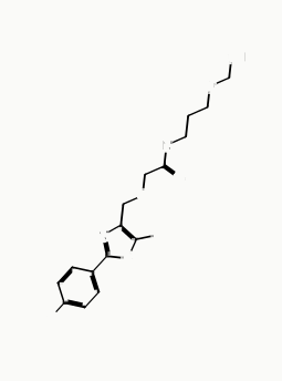 CCOCCCNC(=O)CSCc1nc(-c2ccc(C)cc2)oc1C